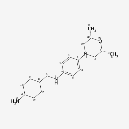 C[C@@H]1CN(c2ccc(NCC3CCC(N)CC3)cc2)C[C@H](C)O1